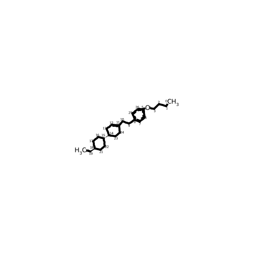 CCCCOc1ccc(CCC2=CCC([C@H]3CC[C@H](CC)CC3)CC2)cc1